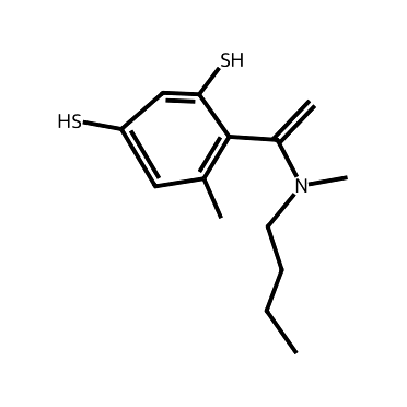 C=C(c1c(C)cc(S)cc1S)N(C)CCCC